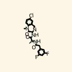 C[C@H](NC(=O)Cc1cc(F)cc(F)c1)C(=O)NC1N=Cc2cc(Cl)ccc2N(C)C1=O